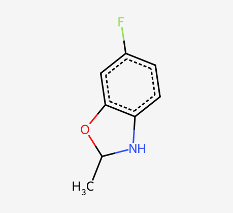 CC1Nc2ccc(F)cc2O1